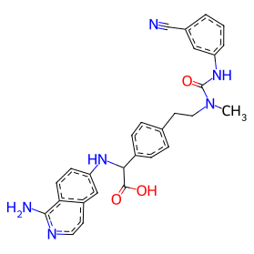 CN(CCc1ccc(C(Nc2ccc3c(N)nccc3c2)C(=O)O)cc1)C(=O)Nc1cccc(C#N)c1